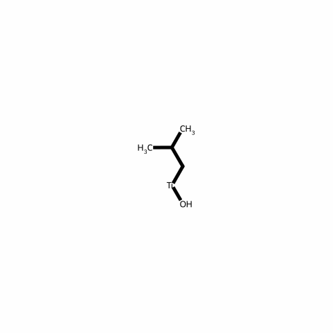 CC(C)[CH2][Ti][OH]